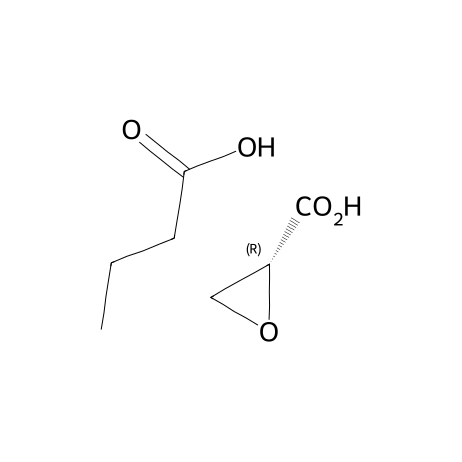 CCCC(=O)O.O=C(O)[C@H]1CO1